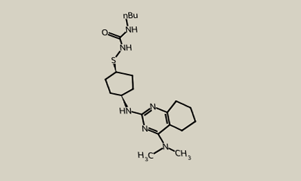 CCCCNC(=O)NS[C@H]1CC[C@@H](Nc2nc3c(c(N(C)C)n2)CCCC3)CC1